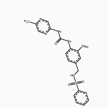 COc1cc(CNS(=O)(=O)c2ccccn2)ccc1NC(=O)Nc1cnc(C)cn1